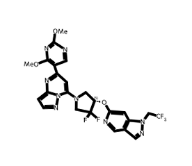 COc1ncc(-c2cc(N3C[C@H](Oc4cc5c(cn4)cnn5CC(F)(F)F)C(F)(F)C3)n3nccc3n2)c(OC)n1